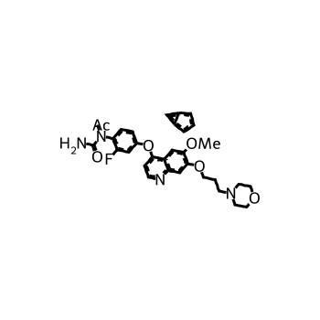 COc1cc2c(Oc3ccc(N(C(C)=O)C(N)=O)c(F)c3)ccnc2cc1OCCCN1CCOCC1.c1cc2cc-2c1